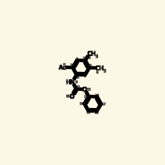 CC(=O)c1cc(C)c(C)cc1NC(=O)Oc1ccccc1